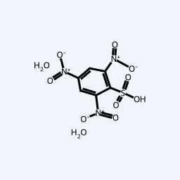 O.O.O=[N+]([O-])c1cc([N+](=O)[O-])c(S(=O)(=O)O)c([N+](=O)[O-])c1